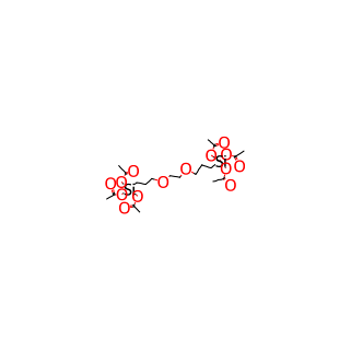 CC(=O)O[Si](CCCOCCOCCC[Si](OC(C)=O)(OC(C)=O)OC(C)=O)(OC(C)=O)OC(C)=O